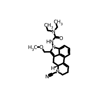 CCN(CC)C(=O)Nn1c(COC)c2c3c(cccc31)C1=CCCN(C#N)[C@@H]1C2